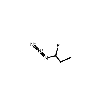 CCC(F)N=[N+]=[N-]